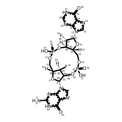 Nc1nc2c(ncn2[C@@H]2O[C@@H]3COP(O)(=S)O[C@H]4[C@H](F)[C@H](n5cnc6c(=O)[nH]cnc65)O[C@@H]4COP(=O)(O)O[C@@H]2[C@@H]3F)c(=O)[nH]1